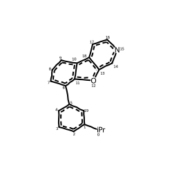 CC(C)c1cccc(-c2cccc3c2oc2cnccc23)c1